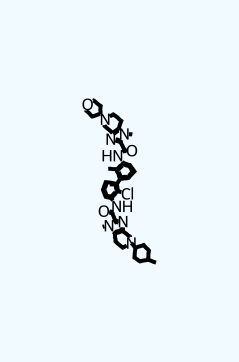 Cc1c(NC(=O)c2nc3c(n2C)CCN(C2CCOCC2)C3)cccc1-c1cccc(NC(=O)c2nc3c(n2C)CCN(C2CCC(C)CC2)C3)c1Cl